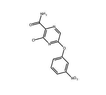 NC(=O)c1ncc(Oc2cccc([N+](=O)[O-])c2)nc1Cl